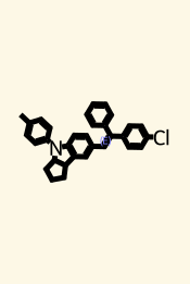 Cc1ccc(N2c3ccc(/C=C(\c4ccccc4)c4ccc(Cl)cc4)cc3C3CCCC32)cc1